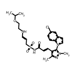 Cc1nn(C)c(-n2ccc3cc(Cl)ccc32)c1/C=C/C(=O)NS(=O)(=O)CC=CNCCOC(C)C